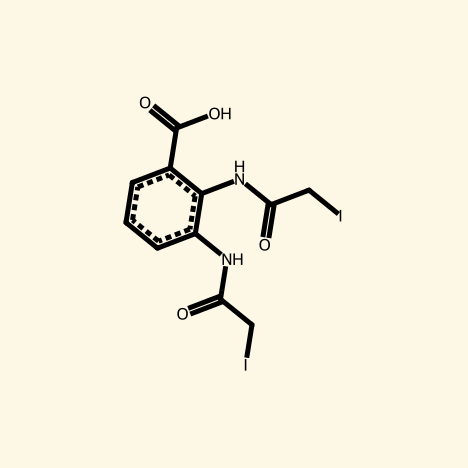 O=C(CI)Nc1cccc(C(=O)O)c1NC(=O)CI